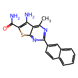 Cc1nc(-c2ccc3ccccc3c2)nc2sc(C(N)=O)c(N)c12